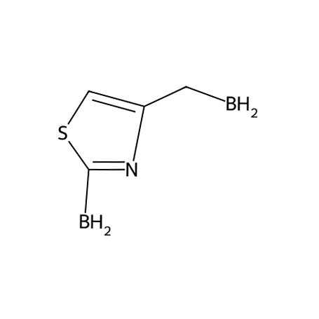 BCc1csc(B)n1